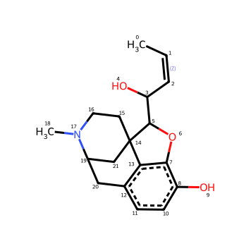 C/C=C\C(O)C1Oc2c(O)ccc3c2C12CCN(C)C(C3)C2